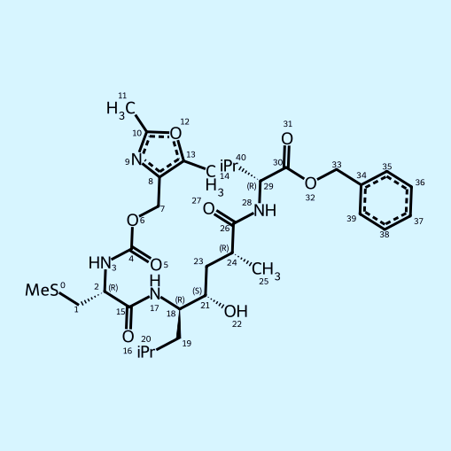 CSC[C@H](NC(=O)OCc1nc(C)oc1C)C(=O)N[C@H](CC(C)C)[C@@H](O)C[C@@H](C)C(=O)N[C@@H](C(=O)OCc1ccccc1)C(C)C